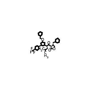 C=C(C)C[C@H](C(=O)N1C(=O)OC[C@@H]1Cc1ccccc1)c1cc(OCc2ccccc2)cc(-c2ccc(C(F)(F)F)cc2)c1